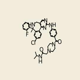 CC(C)NC(=O)CN1CCN(C(=O)c2ccc(Nc3ncc4c(n3)-c3ccc(Cl)cc3C(C)(c3ccccc3F)NC4)cc2)CC1